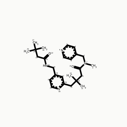 CN(Cc1ccncc1)C(=O)CC(C)(C)Cc1cc(CNC(=O)CC(C)(C)C)ccn1